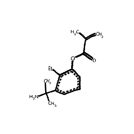 C=C(C)C(=O)Oc1cccc(C(C)(C)N)c1CC